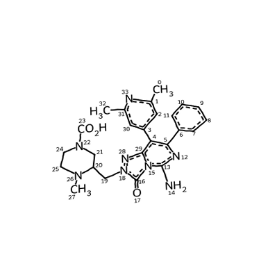 Cc1cc(-c2c(-c3ccccc3)nc(N)n3c(=O)n(CC4CN(C(=O)O)CCN4C)nc23)cc(C)n1